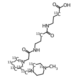 C[15N]1CC[15N]([13CH2][13CH]2[13CH2][13CH2][13CH2][15N]2CC(=O)NCC[13CH2]C(=O)NCC[13CH2]C(=O)O)[13CH2]C1